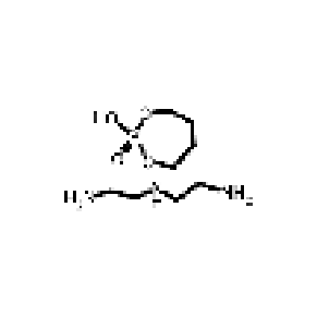 NCCNCCN.O=P1(O)OCCCCO1